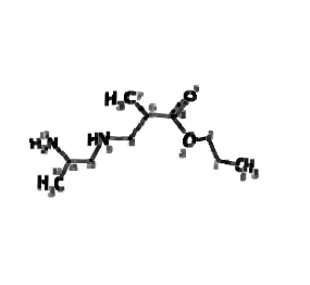 CCCOC(=O)C(C)CNCC(C)N